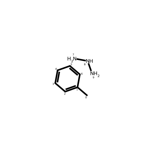 Cc1ccccc1.NNN